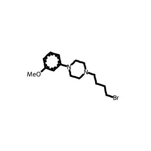 COc1cccc(N2CCN(CCCCBr)CC2)c1